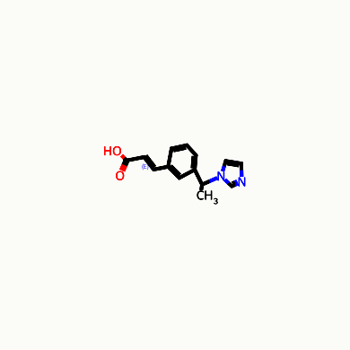 CC(c1cccc(/C=C/C(=O)O)c1)n1ccnc1